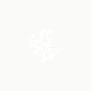 Cc1nc(N[C@@H](C)c2ccc(-c3cn[nH]c3)cn2)cc(-c2ccc3occ(C)c3c2)n1